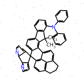 CC1(C)c2c(cccc2N(c2ccccc2)c2ccccc2)-c2ccc3c(c21)-c1ccc2c4c(ccc(c14)C31c3cccnc3-c3ncccc31)CCC2